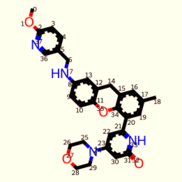 COc1ccc(CNc2ccc3c(c2)Cc2cc(C)cc(-c4cc(N5CCOCC5)cc(=O)[nH]4)c2O3)cn1